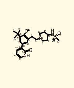 COc1c(CCN2CCC(NS(C)(=O)=O)CC2)cc(-c2ccc[nH]c2=O)cc1C(C)(C)C